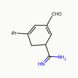 CC(C)C1=CC(C=O)=CC(C(=N)N)C1